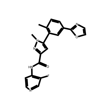 Cc1ccc(-c2ncco2)cc1-c1cc(C(=O)Nc2ccncc2F)nn1C